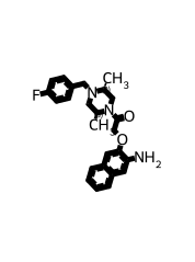 C[C@@H]1CN(C(=O)COc2cc3ccccc3cc2N)[C@@H](C)CN1Cc1ccc(F)cc1